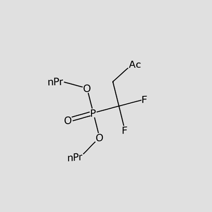 CCCOP(=O)(OCCC)C(F)(F)CC(C)=O